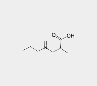 CCCNCC(C)C(=O)O